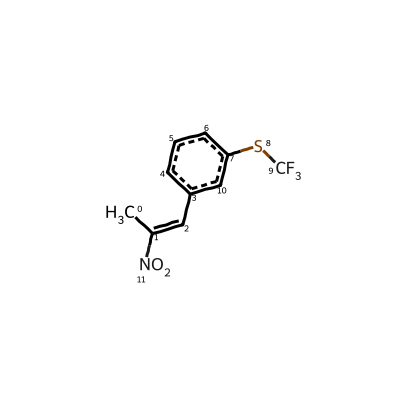 CC(=Cc1cccc(SC(F)(F)F)c1)[N+](=O)[O-]